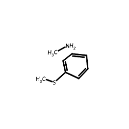 CN.CSc1ccccc1